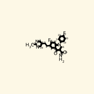 Cc1ncc(CCc2cc3c(=O)c(C(N)=O)cn(-c4ccc(F)cc4)c3cc2F)cn1